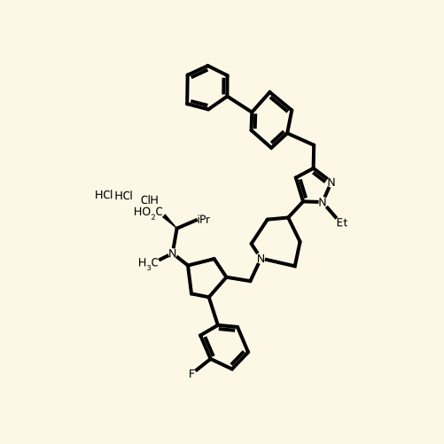 CCn1nc(Cc2ccc(-c3ccccc3)cc2)cc1C1CCN(CC2CC(N(C)[C@@H](C(=O)O)C(C)C)CC2c2cccc(F)c2)CC1.Cl.Cl.Cl